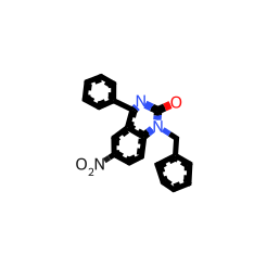 O=c1nc(-c2ccccc2)c2cc([N+](=O)[O-])ccc2n1Cc1ccccc1